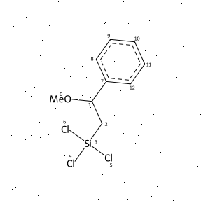 COC(C[Si](Cl)(Cl)Cl)c1ccccc1